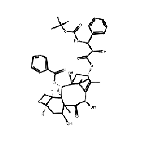 CC1=C2[C@@H](O)C(=O)[C@@]3(C)[C@H]([C@H](OC(=O)c4ccccc4)[C@](O)(C[C@@H]1OC(=O)[C@H](O)C(NC(=O)OC(C)(C)C)c1ccccc1)C2(C)C)[C@]1(C)CO[C@@H]1C[C@@H]3O